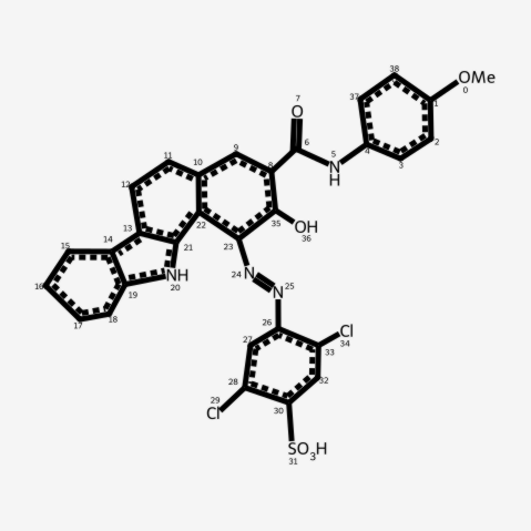 COc1ccc(NC(=O)c2cc3ccc4c5ccccc5[nH]c4c3c(N=Nc3cc(Cl)c(S(=O)(=O)O)cc3Cl)c2O)cc1